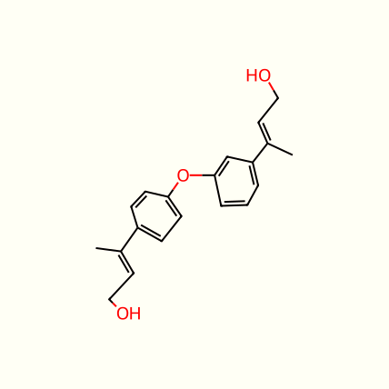 CC(=CCO)c1ccc(Oc2cccc(C(C)=CCO)c2)cc1